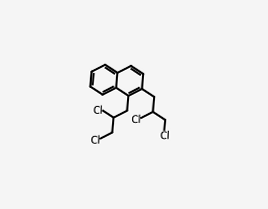 ClCC(Cl)Cc1ccc2ccccc2c1CC(Cl)CCl